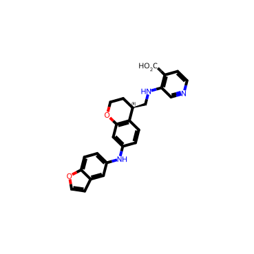 O=C(O)c1ccncc1NC[C@@H]1CCOc2cc(Nc3ccc4occc4c3)ccc21